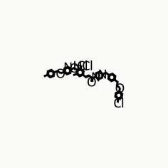 Cc1ccc(COc2ccc(Oc3c(C)cc(/C=C/C(=O)N4CCN(Cc5ccc(CCOc6ccc(Cl)cc6)cc5)CC4)cc3Cl)nc2)cc1.Cl